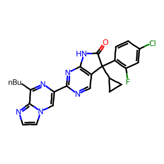 CCCCc1nc(-c2ncc3c(n2)NC(=O)C3(c2ccc(Cl)cc2F)C2CC2)cn2ccnc12